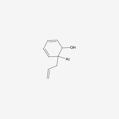 C=CCC1(C(C)=O)C=CC=CC1O